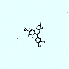 CCc1ccc(C(=C[C@H]2CCC(=O)N2)c2ccc(C3CC3)c(=O)[nH]2)cc1Cl